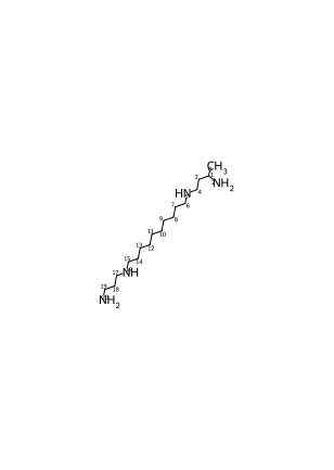 CC(N)CCNCCCCCCCCCCNCCCN